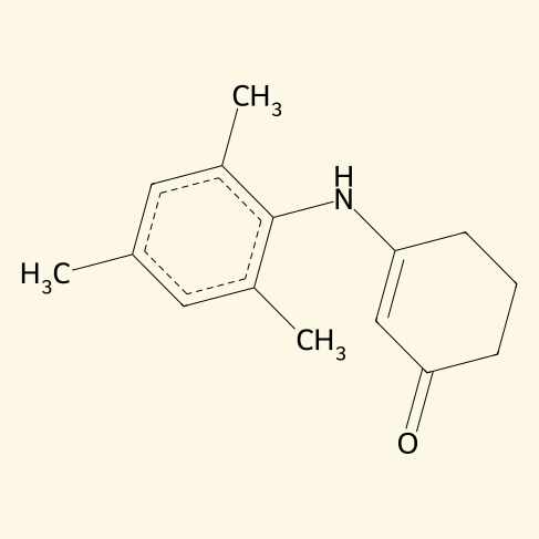 Cc1cc(C)c(NC2=CC(=O)CCC2)c(C)c1